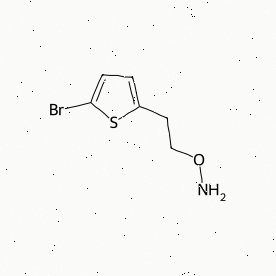 NOCCc1ccc(Br)s1